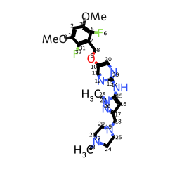 COc1cc(OC)c(F)c(COc2cnc(Nc3cc(CN4CCN(C)CC4)nn3C)nc2)c1F